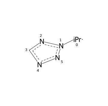 C[C](C)n1ncnn1